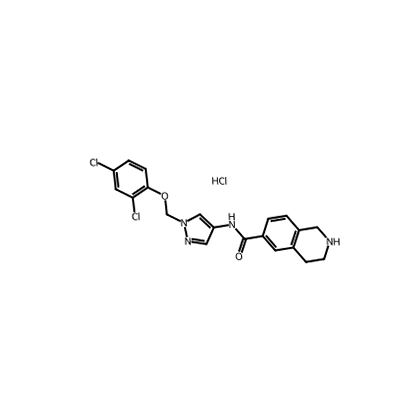 Cl.O=C(Nc1cnn(COc2ccc(Cl)cc2Cl)c1)c1ccc2c(c1)CCNC2